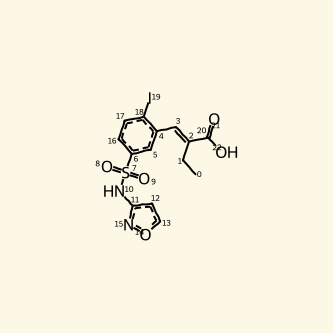 CC/C(=C\c1cc(S(=O)(=O)Nc2ccon2)ccc1I)C(=O)O